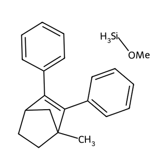 CC12CCC(C1)C(c1ccccc1)=C2c1ccccc1.CO[SiH3]